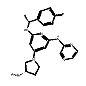 CC(=O)N[C@H]1CCN(c2cc(Nc3cnccn3)nc(N[C@@H](C)c3ccc(F)cc3)c2)C1